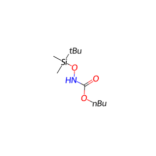 CCCCOC(=O)NO[Si](C)(C)C(C)(C)C